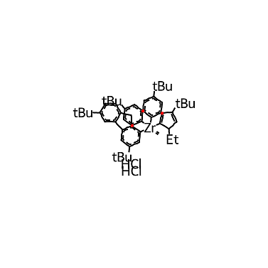 Cl.Cl.[CH2]=[Zr]([C]1=CC(C(C)(C)C)=CC1CC)([c]1ccc(C(C)(C)C)cc1)([c]1ccc(C(C)(C)C)cc1)[c]1cc(C(C)(C)C)cc2c1Cc1ccc(C(C)(C)C)cc1-2